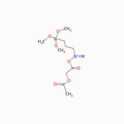 CO[Si](CCC[N+](=[N-])OC(=O)COC(C)=O)(OC)OC